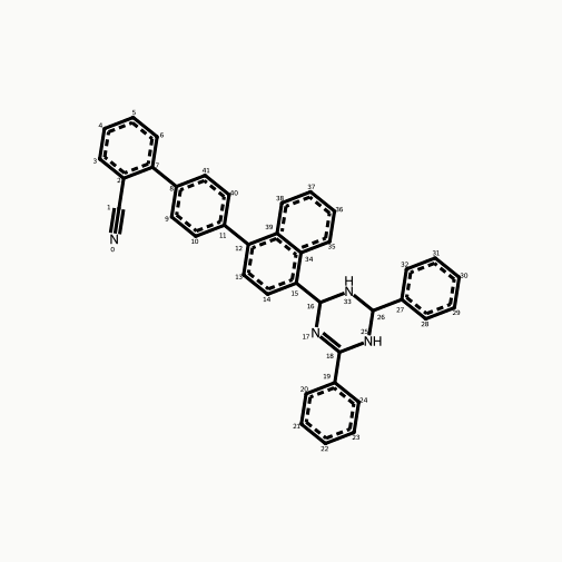 N#Cc1ccccc1-c1ccc(-c2ccc(C3N=C(c4ccccc4)NC(c4ccccc4)N3)c3ccccc23)cc1